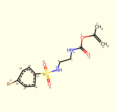 C=C(C)OC(=O)NCCNS(=O)(=O)c1ccc(Br)cc1